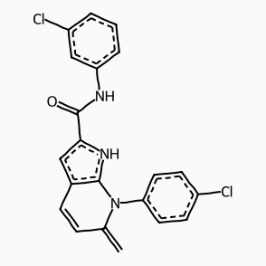 C=C1C=Cc2cc(C(=O)Nc3cccc(Cl)c3)[nH]c2N1c1ccc(Cl)cc1